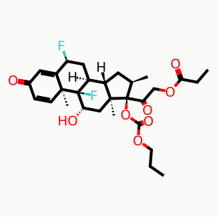 CCCOC(=O)O[C@]1(C(=O)COC(=O)CC)[C@H](C)C[C@H]2[C@@H]3C[C@H](F)C4=CC(=O)C=C[C@]4(C)[C@@]3(F)[C@@H](O)C[C@@]21C